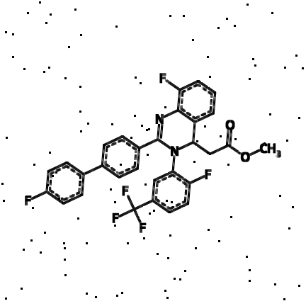 COC(=O)CC1c2cccc(F)c2N=C(c2ccc(-c3ccc(F)cc3)cc2)N1c1cc(C(F)(F)F)ccc1F